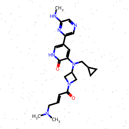 CNc1cncc(-c2c[nH]c(=O)c(N(CC3CC3)C3CN(C(=O)C=CCN(C)C)C3)c2)n1